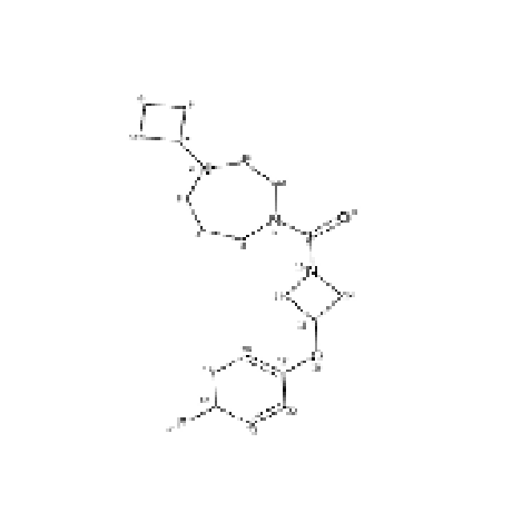 O=C(N1CCCN(C2CCC2)CC1)N1CC(OC2=CCC(F)C=C2)C1